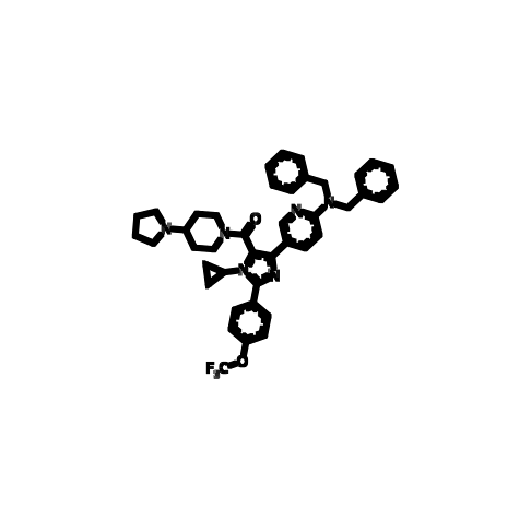 O=C(c1c(-c2ccc(N(Cc3ccccc3)Cc3ccccc3)nc2)nc(-c2ccc(OC(F)(F)F)cc2)n1C1CC1)N1CCC(N2CCCC2)CC1